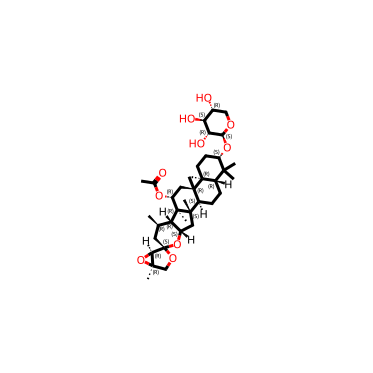 CC(=O)O[C@@H]1C[C@@]23C[C@@]24CC[C@H](O[C@@H]2OC[C@@H](O)[C@H](O)[C@H]2O)C(C)(C)[C@@H]4CC[C@H]3[C@]2(C)C[C@@H]3O[C@]4(C[C@@H](C)[C@@H]3[C@@]12C)OC[C@@]1(C)O[C@@H]41